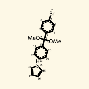 COC(OC)(c1ccc(Br)cc1)c1ccc([SH]2C=CC=C2)cc1